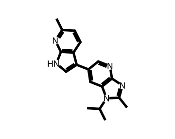 Cc1ccc2c(-c3cnc4nc(C)n(C(C)C)c4c3)c[nH]c2n1